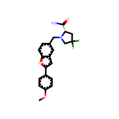 COc1ccc(-c2cc3cc(CN4CC(F)(F)C[C@H]4C(N)=O)ccc3o2)cc1